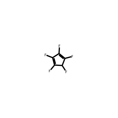 FC1=C(F)C(F)C(F)=C1F